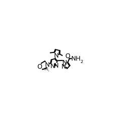 Cc1ccc(C)n1-c1cc(N2CCOC[C@H]2C)nnc1Cn1nccc1C(N)=O